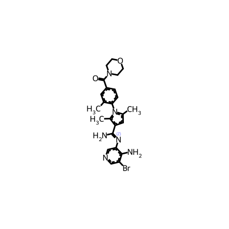 Cc1cc(C(=O)N2CCOCC2)ccc1-n1c(C)cc(/C(N)=N/c2cncc(Br)c2N)c1C